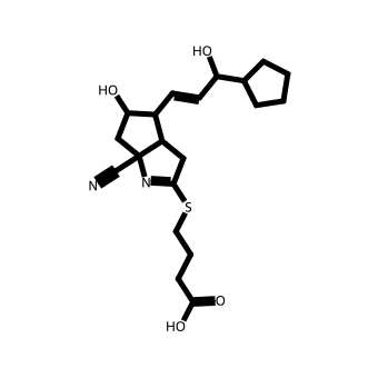 N#CC12CC(O)C(C=CC(O)C3CCCC3)C1CC(SCCCC(=O)O)=N2